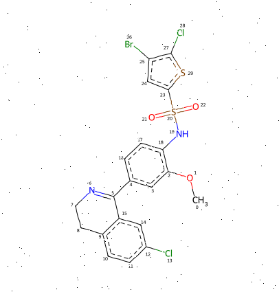 COc1cc(C2=NCCc3ccc(Cl)cc32)ccc1NS(=O)(=O)c1cc(Br)c(Cl)s1